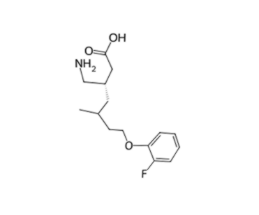 CC(CCOc1ccccc1F)C[C@H](CN)CC(=O)O